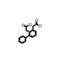 O=C(Cl)Cc1cccc(-c2ccccc2)c1CC(=O)Cl